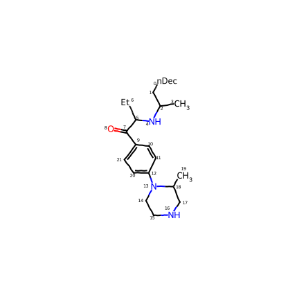 CCCCCCCCCCCC(C)NC(CC)C(=O)c1ccc(N2CCNCC2C)cc1